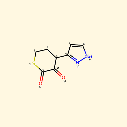 O=C1SCCC(c2cc[nH]n2)C1=O